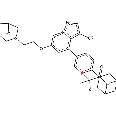 CC(F)(F)C(=O)N1C2CC1CN(c1ccc(-c3cc(OCCN4CC5CC(C4)O5)cn4ncc(C#N)c34)cn1)C2